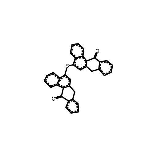 O=C1c2ccccc2Cc2cc(Sc3cc4c(c5ccccc35)C(=O)c3ccccc3C4)c3ccccc3c21